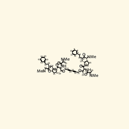 CNCC(=O)N(CCc1ccccc1)C[C@@H]1CCCN1C(=O)[C@@H](NC(=O)[C@H](C)NC)[C@@H](C)OCC#CC#CCO[C@H](C)[C@H](NC(=O)[C@H](C)NC)C(=O)N1CCC[C@H]1CN(CCc1ccccc1)C(=O)CNC